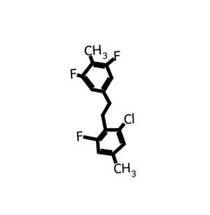 Cc1cc(F)c(CCc2cc(F)c(C)c(F)c2)c(Cl)c1